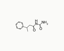 CC(CC(=O)NC(N)=O)c1ccccc1